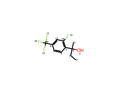 CCC(C)(O)c1ccc(C(F)(F)F)cc1F